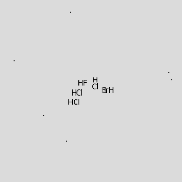 Br.Cl.Cl.Cl.F